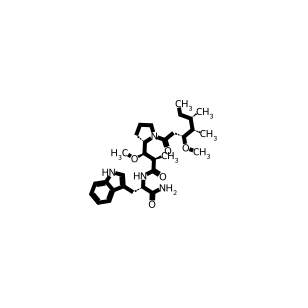 CC[C@H](C)[C@H](C)[C@@H](CC(=O)N1CCC[C@H]1[C@H](OC)[C@@H](C)C(=O)N[C@@H](Cc1c[nH]c2ccccc12)C(N)=O)OC